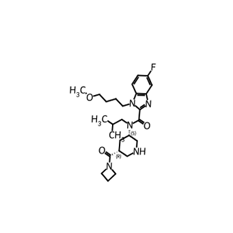 COCCCCn1c(C(=O)N(CC(C)C)[C@@H]2CNC[C@H](C(=O)N3CCC3)C2)nc2cc(F)ccc21